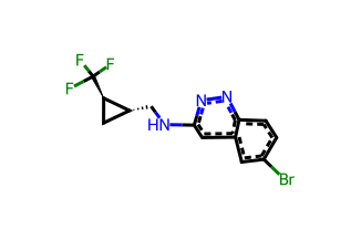 FC(F)(F)[C@@H]1C[C@H]1CNc1cc2cc(Br)ccc2nn1